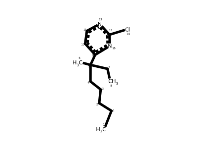 CCCCCC(C)(CC)c1ccnc(Cl)n1